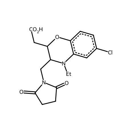 CCN1c2cc(Cl)ccc2OC(CC(=O)O)C1CN1C(=O)CCC1=O